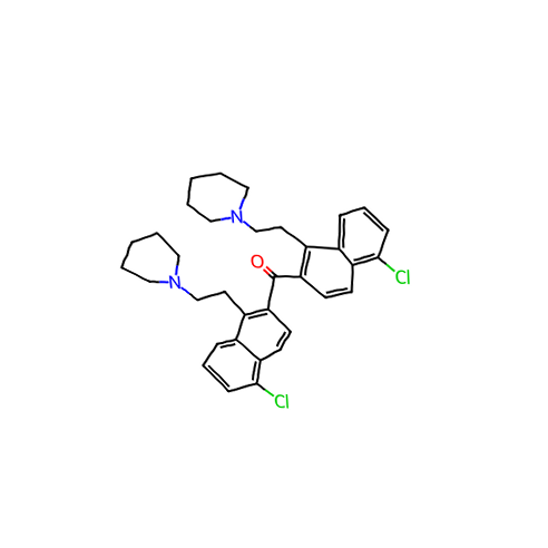 O=C(c1ccc2c(Cl)cccc2c1CCN1CCCCC1)c1ccc2c(Cl)cccc2c1CCN1CCCCC1